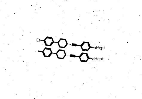 CCCCCCCc1ccc(C#C[C@H]2CC[C@H](c3ccc(C)cc3)CC2)cc1.CCCCCCCc1ccc(C#C[C@H]2CC[C@H](c3ccc(CC)cc3)CC2)cc1